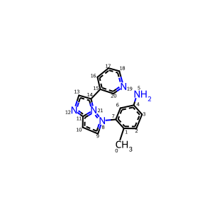 Cc1ccc(N)cc1-n1ccc2ncc(-c3cccnc3)n21